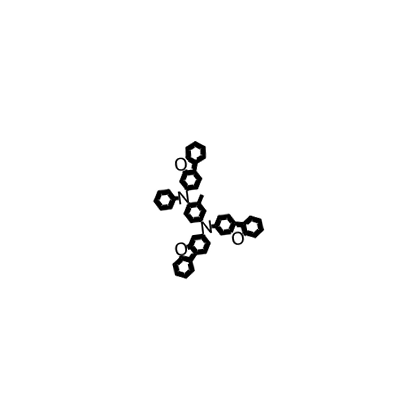 Cc1cc(N(c2ccc3c(c2)oc2ccccc23)c2ccc3c(c2)oc2ccccc23)ccc1N(c1ccccc1)c1ccc2c(c1)oc1ccccc12